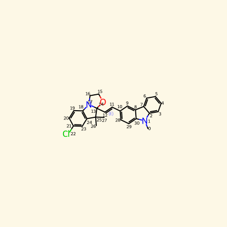 Cn1c2ccccc2c2cc(/C=C/C34OCCN3c3ccc(Cl)cc3C4(C)C)ccc21